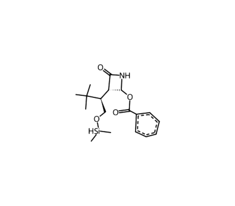 C[SiH](C)OC[C@H]([C@@H]1C(=O)NC1OC(=O)c1ccccc1)C(C)(C)C